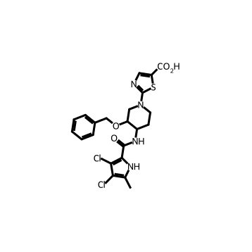 Cc1[nH]c(C(=O)NC2CCN(c3ncc(C(=O)O)s3)CC2OCc2ccccc2)c(Cl)c1Cl